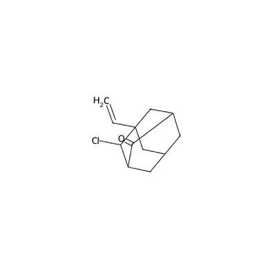 C=CC12CC3CC(C1)C(=O)C(C3)C2Cl